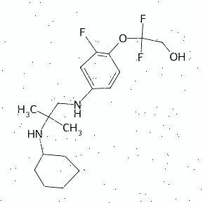 CC(C)(CNc1ccc(OC(F)(F)CO)c(F)c1)NC1CCCCC1